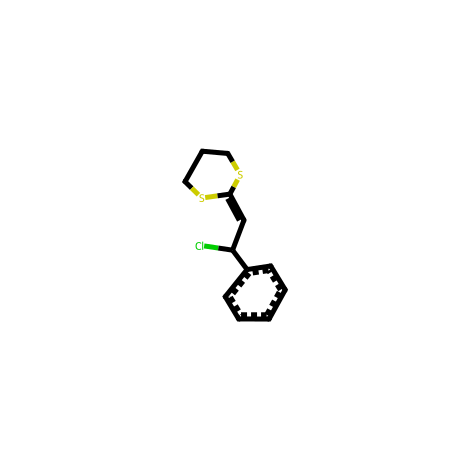 ClC(C=C1SCCCS1)c1ccccc1